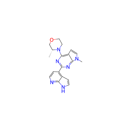 C[C@@H]1COCCN1c1nc(-c2ccnc3[nH]ccc23)nc2c1ccn2C